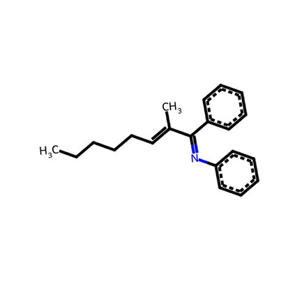 CCCCCC=C(C)C(=Nc1ccccc1)c1ccccc1